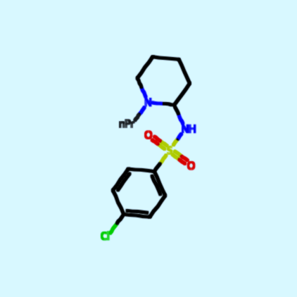 CCCN1CCCCC1NS(=O)(=O)c1ccc(Cl)cc1